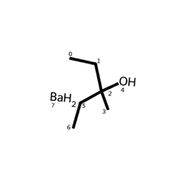 CCC(C)(O)CC.[BaH2]